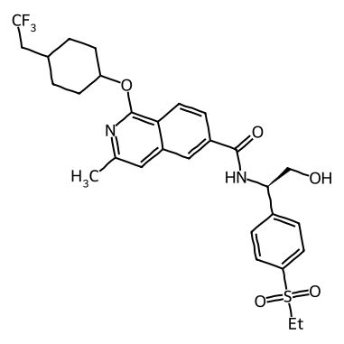 CCS(=O)(=O)c1ccc([C@H](CO)NC(=O)c2ccc3c(OC4CCC(CC(F)(F)F)CC4)nc(C)cc3c2)cc1